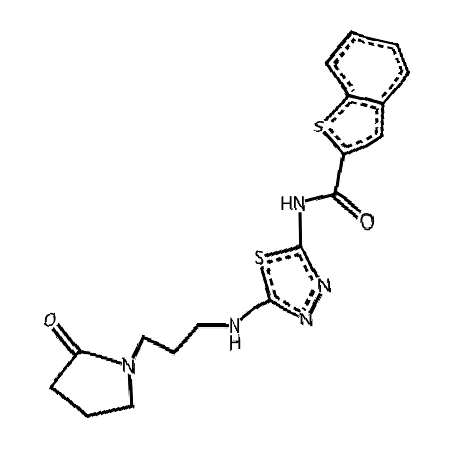 O=C(Nc1nnc(NCCCN2CCCC2=O)s1)c1cc2ccccc2s1